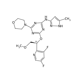 COC[C@@H](Oc1nc(Nc2cc(C)[nH]n2)nc(N2CCOCC2)n1)c1ncc(F)cc1F